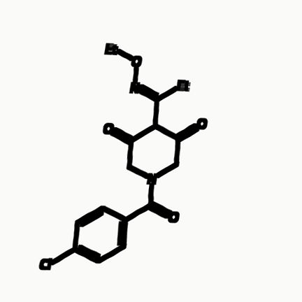 CCON=C(CC)C1C(=O)CN(C(=O)c2ccc(Cl)cc2)CC1=O